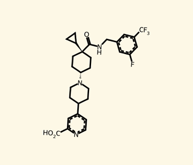 O=C(O)c1cc(C2CCN([C@H]3CC[C@](C(=O)NCc4cc(F)cc(C(F)(F)F)c4)(C4CC4)CC3)CC2)ccn1